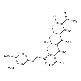 COc1ccc(/C=C/c2ccc(O)c3c2C[C@H]2CC4CC(O)=C(C(N)=O)C(=O)C4C(O)=C2C3=O)cc1OC